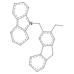 CCc1cc2c(cc1Cn1c3ccccc3c3ccccc31)-c1ccccc1C2